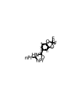 CCCC(CCC)NC(=O)c1ccc2c(c1)OC(F)(F)O2